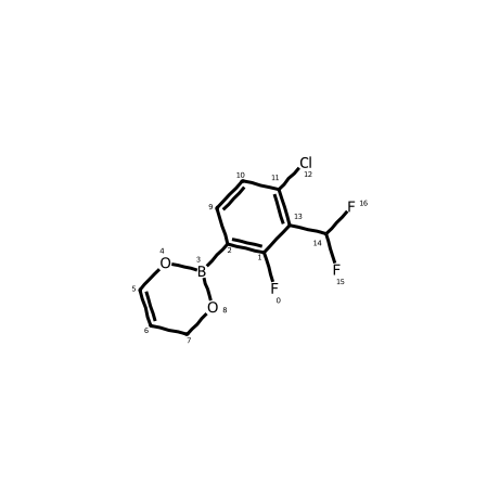 Fc1c(B2OC=CCO2)ccc(Cl)c1C(F)F